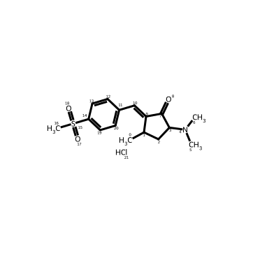 CC1CC(N(C)C)C(=O)C1=Cc1ccc(S(C)(=O)=O)cc1.Cl